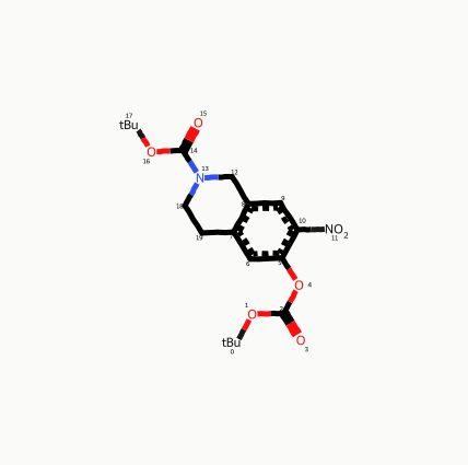 CC(C)(C)OC(=O)Oc1cc2c(cc1[N+](=O)[O-])CN(C(=O)OC(C)(C)C)CC2